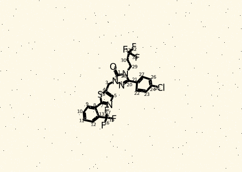 O=c1n(Cc2cnc(-c3ccccc3C(F)(F)F)s2)nc(-c2ccc(Cl)cc2)n1CCC(F)(F)F